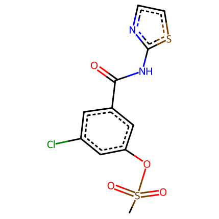 CS(=O)(=O)Oc1cc(Cl)cc(C(=O)Nc2nccs2)c1